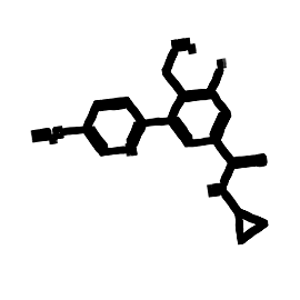 NCc1c(F)cc(C(=O)NC2CC2)cc1-c1ccc(C(=O)O)cn1